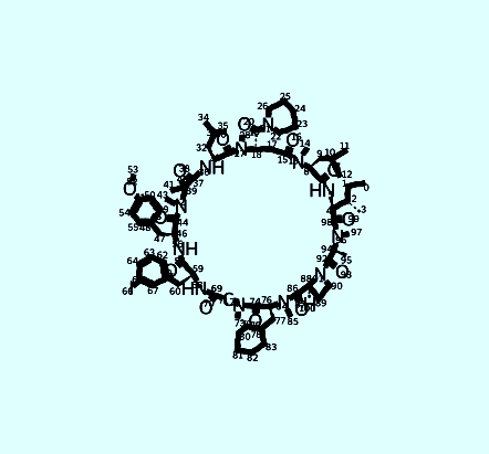 CC[C@H](C)[C@@H]1NC(=O)[C@H](CC(C)C)N(C)C(=O)C[C@@H](C(=O)N2CCCCC2)N(C)C(=O)[C@H](CC(C)C)NC(=O)C(C)(C)N(C)C(=O)[C@H](Cc2ccc(OC)cc2)NC(=O)[C@H](Cc2cccc(I)c2)NC(=O)CN(C)C(=O)[C@H](CC2CCCCC2)N(C)C(=O)[C@@H]2CCN2C(=O)[C@H](C)N(C)C1=O